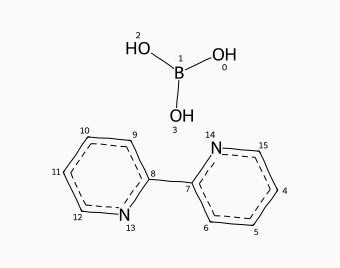 OB(O)O.c1ccc(-c2ccccn2)nc1